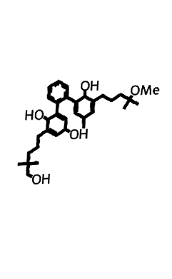 COC(C)(C)CCCC1=CC(C)C=C(c2ccccc2C2=CC(O)C=C(CCCC(C)(C)CO)C2O)C1O